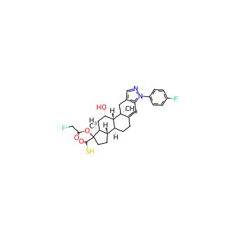 C[C@]12Cc3cnn(-c4ccc(F)cc4)c3C=C1CC[C@@H]1[C@@H]2[C@@H](O)C[C@@]2(C)[C@H]1CC[C@]2(OC(=O)CF)C(=O)S